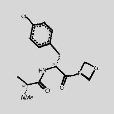 CN[C@H](C)C(=O)N[C@H](Cc1ccc(Cl)cc1)C(=O)P1COC1